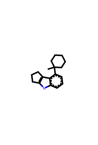 CC1(c2cccc3c2C2=C(CCC2)[N]3)CCCCC1